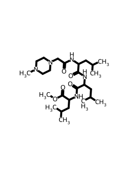 COC(=O)C(CC(C)C)NC(=O)C(CC(C)C)NC(=O)C(CC(C)C)NC(=O)CN1CCN(C)CC1